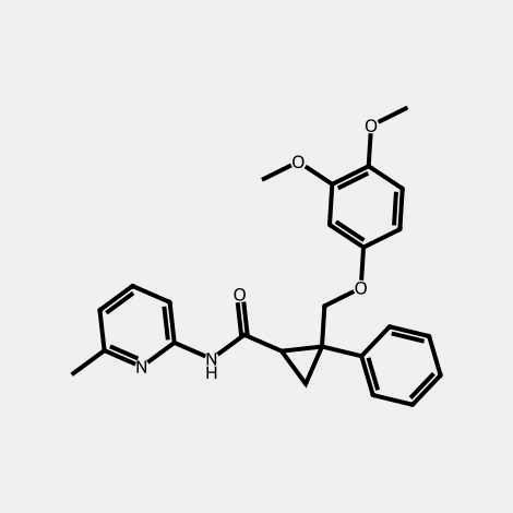 COc1ccc(OCC2(c3ccccc3)CC2C(=O)Nc2cccc(C)n2)cc1OC